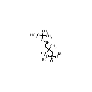 CCOP(=O)(CC(C)(C)CNOC(C)(C)C(=O)O)OCC